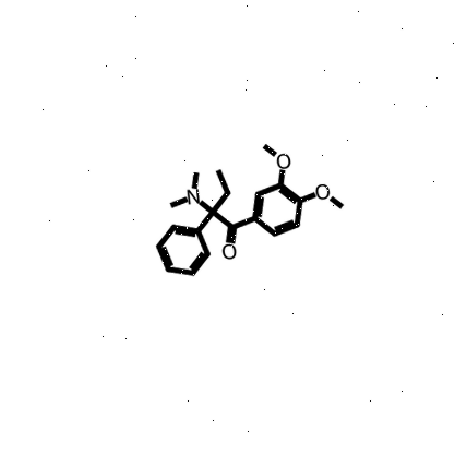 CCC(C(=O)c1ccc(OC)c(OC)c1)(c1ccccc1)N(C)C